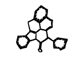 O=C1C(c2ccccc2)C2=CCc3cccc4c3C2C2=C(C4)c3ccccc3C12